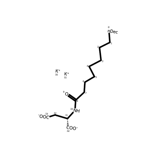 CCCCCCCCCCCCCCCCCC(=O)N[C@@H](CC(=O)[O-])C(=O)[O-].[K+].[K+]